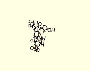 [2H]C([2H])([2H])c1cc2cnc(NC3C([2H])([2H])CN(S(C)(=O)=O)CC3([2H])[2H])nc2n([C@@H]2CC[C@@H](O)[C@H]2C)c1=O